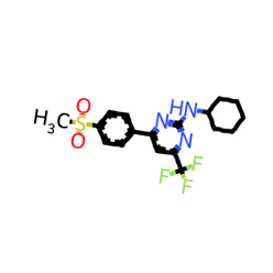 CS(=O)(=O)c1ccc(-c2cc(C(F)(F)F)nc(NC3CCCCC3)n2)cc1